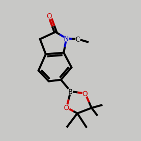 CCN1C(=O)Cc2ccc(B3OC(C)(C)C(C)(C)O3)cc21